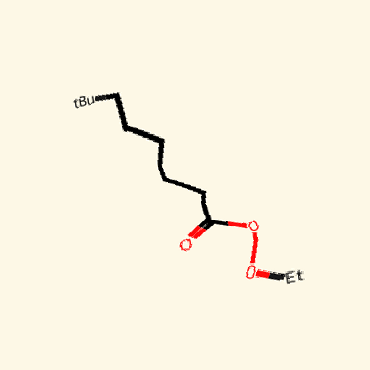 CCOOC(=O)CCCCCC(C)(C)C